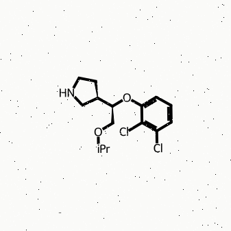 CC(C)OC[C@H](Oc1cccc(Cl)c1Cl)[C@@H]1CCNC1